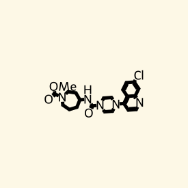 COC(=O)N1CCCC(NC(=O)N2CCN(c3ccnc4cc(Cl)ccc34)CC2)CC1